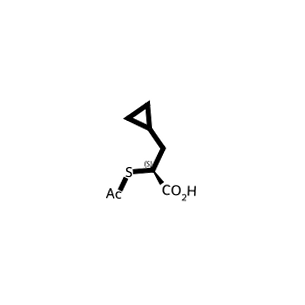 CC(=O)S[C@@H](CC1CC1)C(=O)O